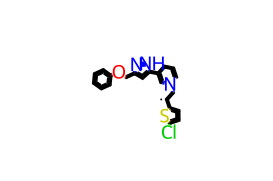 Clc1ccc([CH]CN2C=CCC(c3cc(COc4ccccc4)n[nH]3)=C2)s1